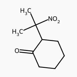 CC(C)(C1CCCCC1=O)[N+](=O)[O-]